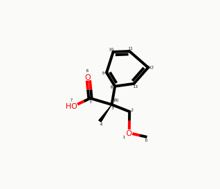 COC[C@](C)(C(=O)O)c1ccccc1